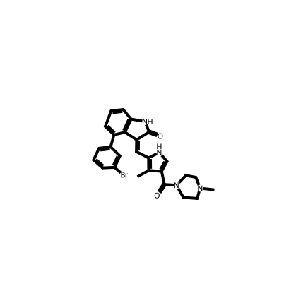 Cc1c(C(=O)N2CCN(C)CC2)c[nH]c1/C=C1\C(=O)Nc2cccc(-c3cccc(Br)c3)c21